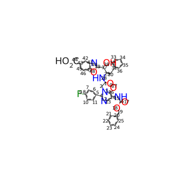 O=C(Cn1c(-c2ccc(F)cc2)ncc(NC(=O)OCc2ccccc2)c1=O)NC(Cc1ccccc1)C(O)c1nc2cc(C(=O)O)ccc2o1